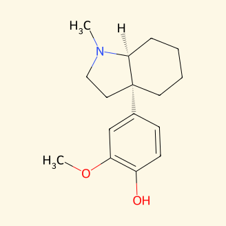 COc1cc([C@@]23CCCC[C@@H]2N(C)CC3)ccc1O